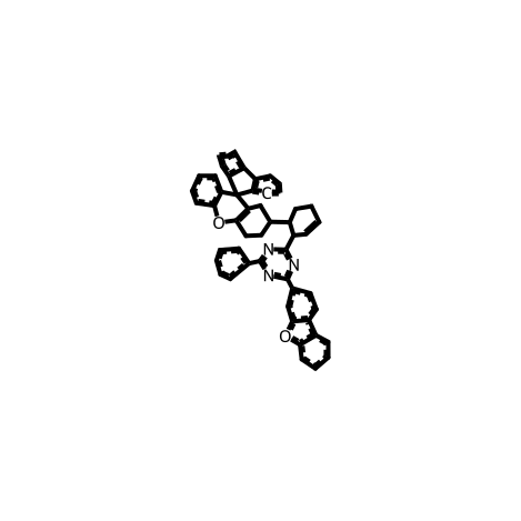 C1=CC(c2nc(-c3ccccc3)nc(-c3ccc4c(c3)oc3ccccc34)n2)C(C2CCC3=C(C2)C2(c4ccccc4O3)c3ccccc3-c3ccccc32)CC1